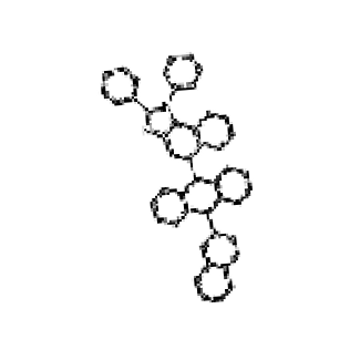 c1ccc(-c2nc3cc(-c4c5ccccc5c(-c5ccc6ccccc6c5)c5ccccc45)c4ccccc4c3n2-c2ccccc2)cc1